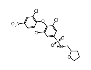 O=[N+]([O-])c1ccc(Oc2c(Cl)cc(S(=O)(=O)NCC3CCCO3)cc2Cl)c(Cl)c1